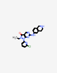 CCn1c(=O)c2cnc(Nc3ccc4c(c3)CCNC4)nc2n1-c1cccc(Cl)n1